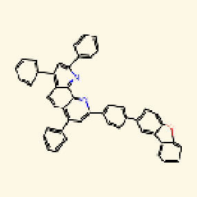 c1ccc(-c2cc(-c3ccccc3)c3ccc4c(-c5ccccc5)cc(-c5ccc(-c6ccc7oc8ccccc8c7c6)cc5)nc4c3n2)cc1